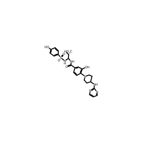 O=C(O)CC(NC(=O)c1ccc(N2CCC(Nc3ncccn3)CC2)c(O)c1)NS(=O)(=O)c1ccc(O)cc1